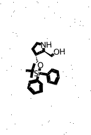 CC(C)(C)[Si](OC[C@@H]1CCN[C@H]1CO)(c1ccccc1)c1ccccc1